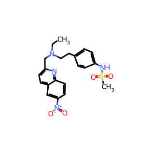 CCN(CCc1ccc(NS(C)(=O)=O)cc1)Cc1ccc2cc([N+](=O)[O-])ccc2n1